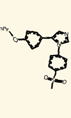 CCCOc1ccc(-c2cncn2-c2ccc(S(C)(=O)=O)cc2)cc1